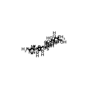 CC(C(O)C(O)C(O)C(O)OP(=O)(O)OP(O)(=S)OCC1OC(n2cnc3c(N)ncnc32)C(O)C1O)[C@H](O)CO